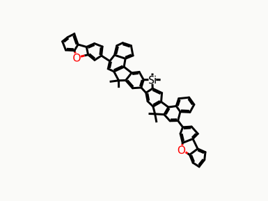 CC1(C)c2cc3c(cc2-c2c1cc(-c1ccc4c(c1)oc1ccccc14)c1ccccc21)[Si](C)(C)c1cc2c(cc1-3)C(C)(C)c1cc(-c3ccc4c(c3)oc3ccccc34)c3ccccc3c1-2